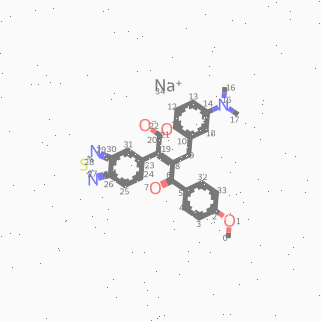 COc1ccc(C(=O)/C(Cc2cccc(N(C)C)c2)=C(/C(=O)[O-])c2ccc3nsnc3c2)cc1.[Na+]